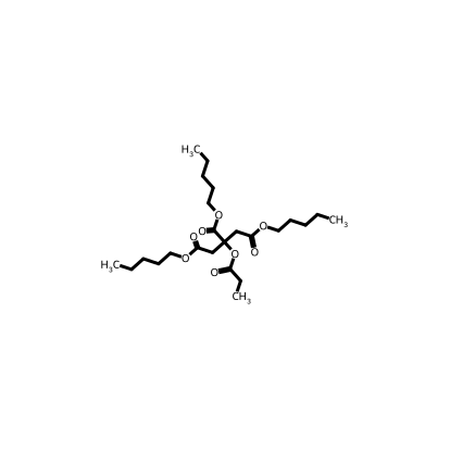 CCCCCOC(=O)CC(CC(=O)OCCCCC)(OC(=O)CC)C(=O)OCCCCC